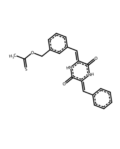 CC(=S)OCc1cccc(C=c2[nH]c(=O)c(=Cc3ccccc3)[nH]c2=O)c1